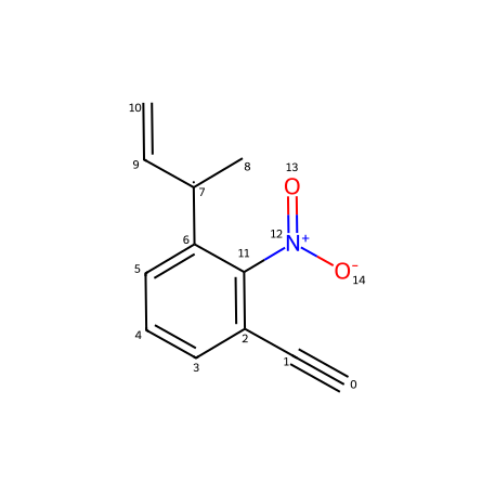 C#Cc1cccc([C](C)C=C)c1[N+](=O)[O-]